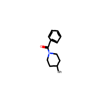 [CH2]CCC1CCN(C(=O)c2ccccc2)CC1